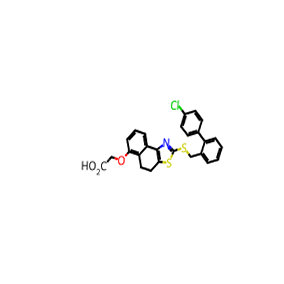 O=C(O)COc1cccc2c1CCc1sc(SCc3ccccc3-c3ccc(Cl)cc3)nc1-2